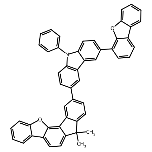 CC1(C)c2ccc(-c3ccc4c(c3)c3cc(-c5cccc6c5oc5ccccc56)ccc3n4-c3ccccc3)cc2-c2c1ccc1c2oc2ccccc21